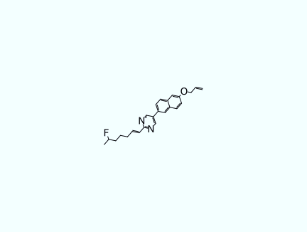 C=CCOc1ccc2cc(-c3cnc(C=CCCCC(C)F)nc3)ccc2c1